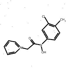 Cc1ccc(N(O)C(=O)C[n+]2ccccc2)cc1Cl